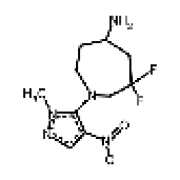 Cn1ncc([N+](=O)[O-])c1N1CCC(N)CC(F)(F)C1